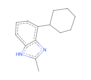 Cc1nc2c(C3CCCCC3)[c]ccc2[nH]1